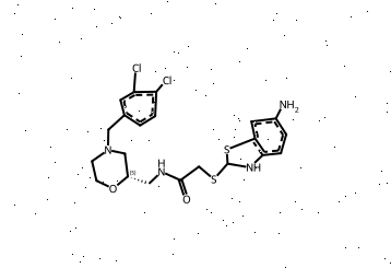 Nc1ccc2c(c1)SC(SCC(=O)NC[C@H]1CN(Cc3ccc(Cl)c(Cl)c3)CCO1)N2